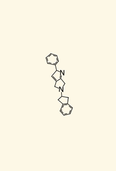 C1=C2CN(C3Cc4ccccc4C3)CC2=NC1c1ccccc1